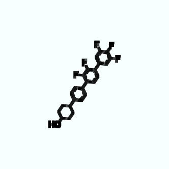 OC1CCC(c2ccc(-c3ccc(-c4cc(F)c(F)c(F)c4)c(F)c3F)cc2)CC1